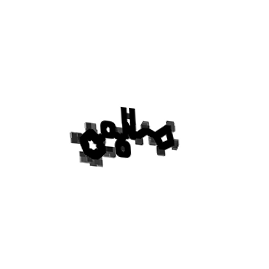 O=C(NCCC1CCC1)Oc1ccccc1